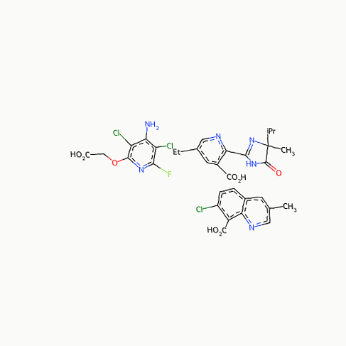 CCc1cnc(C2=NC(C)(C(C)C)C(=O)N2)c(C(=O)O)c1.Cc1cnc2c(C(=O)O)c(Cl)ccc2c1.Nc1c(Cl)c(F)nc(OCC(=O)O)c1Cl